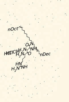 CCCCCCCC/C=C\CCCCCCCCN(CCCCCCCCCCCCCCCC)C(=O)C(N)C(N)C(=O)C(N)CCCNC(=N)N.Cl.Cl.Cl